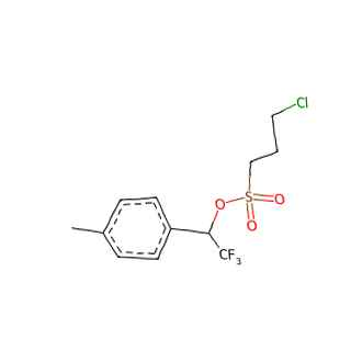 Cc1ccc(C(OS(=O)(=O)CCCCl)C(F)(F)F)cc1